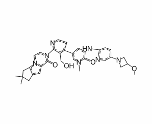 COC1CN(c2ccc(Nc3cc(-c4ccnc(-n5ccn6c7c(cc6c5=O)CC(C)(C)C7)c4CO)cn(C)c3=O)nc2)C1